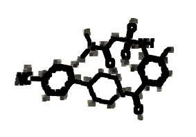 Cc1ccc(C(=O)N2CCC(c3ccc(C#N)cc3)CC2)cc1NS(=O)(=O)CC(=O)N(C)C